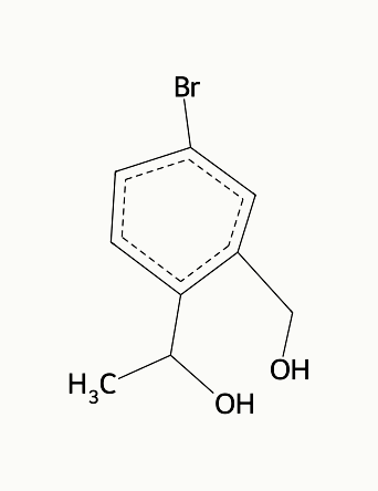 CC(O)c1ccc(Br)cc1CO